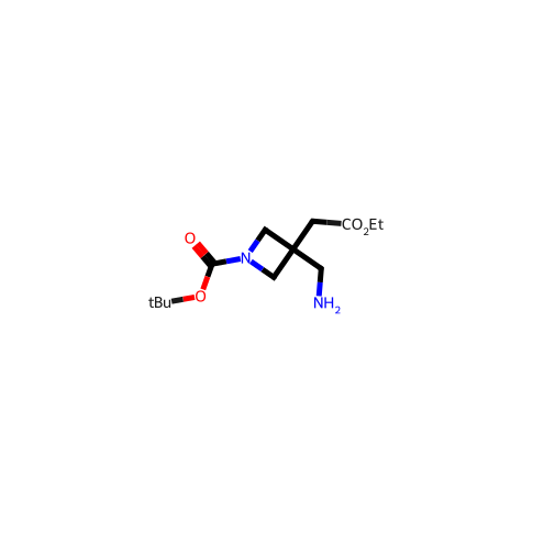 CCOC(=O)CC1(CN)CN(C(=O)OC(C)(C)C)C1